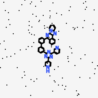 C1=CC2=NC3c4ccccc4C(c4cccc(-c5cccc(-c6nc(C7=CCNC=C7)nc(-c7cccnc7)n6)c5)c4)=NC3N2C=C1